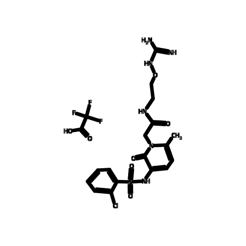 Cc1ccc(NS(=O)(=O)c2ccccc2Cl)c(=O)n1CC(=O)NCCONC(=N)N.O=C(O)C(F)(F)F